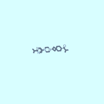 CC(C)c1ncc(N2CCN([C@H]3CC4(CC[C@H](C(=O)C(C)C)CC4)C3)CC2)cn1